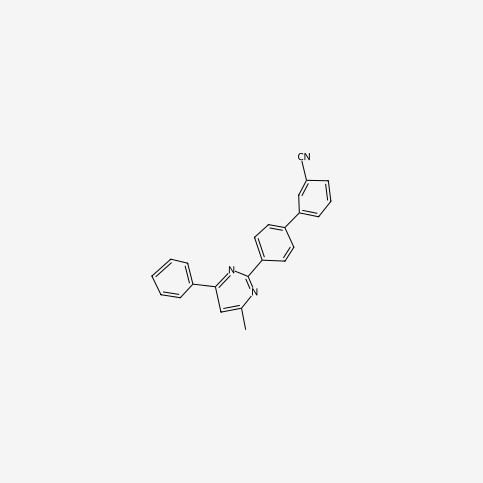 Cc1cc(-c2ccccc2)nc(-c2ccc(-c3cccc(C#N)c3)cc2)n1